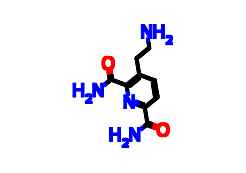 NCCc1ccc(C(N)=O)nc1C(N)=O